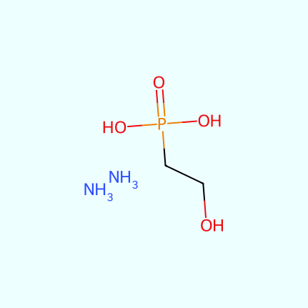 N.N.O=P(O)(O)CCO